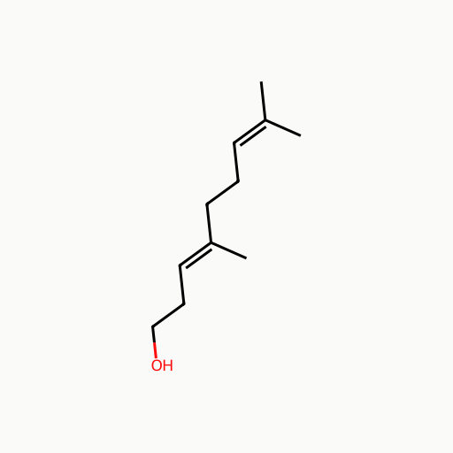 CC(C)=CCC/C(C)=C/CCO